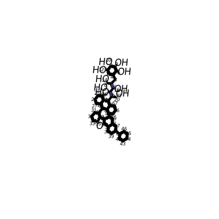 OC/C(Cc1c(O)c(O)c(O)c(O)c1O)=C(O)\C(O)=C(/CO)c1c2ccccc2c(-c2cccc3oc4c5ccc(-c6ccccc6)cc5ccc4c23)c2ccccc12